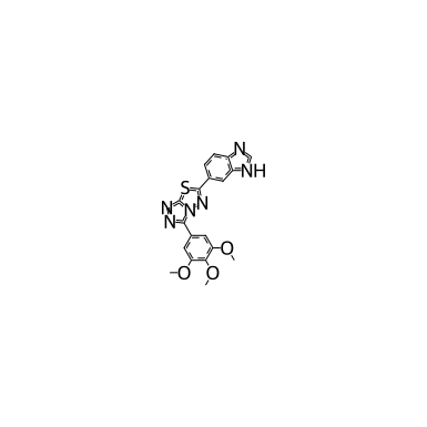 COc1cc(-c2nnc3sc(-c4ccc5nc[nH]c5c4)nn23)cc(OC)c1OC